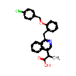 CC(C(=O)O)c1cnc(Cc2ccccc2OCc2ccc(Cl)cc2)c2ccccc12